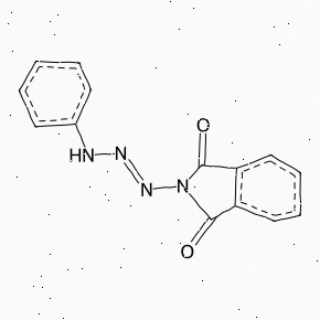 O=C1c2ccccc2C(=O)N1N=NNc1ccccc1